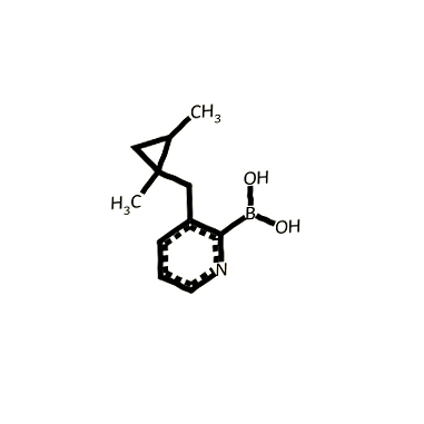 CC1CC1(C)Cc1cccnc1B(O)O